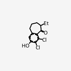 CCC1CCCc2cc(O)c(Cl)c(Cl)c2C1=O